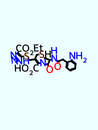 CCOC(=O)c1nn[nH]c1SCC1=C(C(=O)O)N2C(=O)C(NC(=O)Cc3ccccc3N)[C@H]2SC1